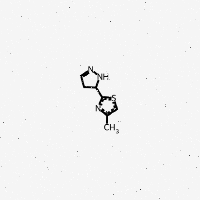 Cc1csc(C2CC=NN2)n1